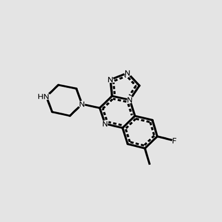 Cc1cc2nc(N3CCNCC3)c3nncn3c2cc1F